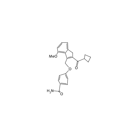 COc1cccc2c1C(COc1ccc(C(N)=O)cc1)=C(C(=O)C1CCC1)C2